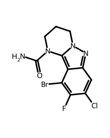 NC(=O)N1CCCn2nc3cc(Cl)c(F)c(Br)c3c21